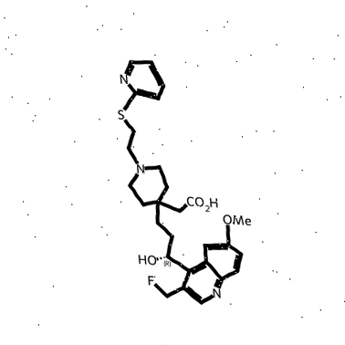 COc1ccc2ncc(CF)c([C@H](O)CCC3(CC(=O)O)CCN(CCSc4ccccn4)CC3)c2c1